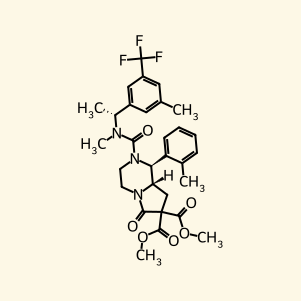 COC(=O)C1(C(=O)OC)C[C@H]2[C@H](c3ccccc3C)N(C(=O)N(C)[C@H](C)c3cc(C)cc(C(F)(F)F)c3)CCN2C1=O